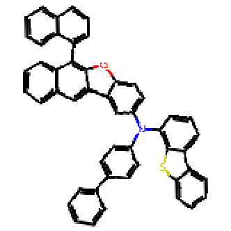 c1ccc(-c2ccc(N(c3ccc4oc5c(-c6cccc7ccccc67)c6ccccc6cc5c4c3)c3cccc4c3sc3ccccc34)cc2)cc1